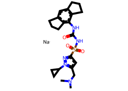 CN(C)Cc1cc(S(=O)(=O)NC(=O)Nc2c3c(cc4c2CCC4)CCC3)nn1C1CC1.[Na]